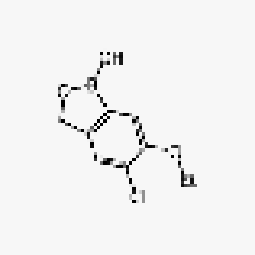 CCOc1cc2c(cc1Cl)COB2O